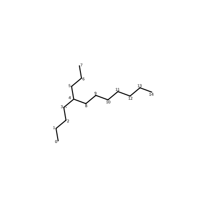 CCC[CH]C(CCC)CCCCCCC